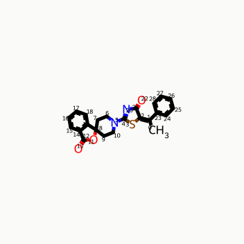 C/C(=C1\SC(N2CCC3(CC2)OC(=O)c2ccccc23)=NC1=O)c1ccccc1